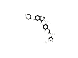 Cc1cc(CC(=O)Nc2cnn(C(C)(C)C)c2)c(F)cc1Oc1ncnc2ccc(OC3CCNCC3)cc12